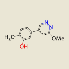 COc1cc(-c2ccc(C)c(O)c2)cnn1